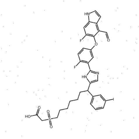 O=Cc1c(Oc2ccc(F)c(-c3ncc(C(CCCCCCS(=O)(=O)CC(=O)O)c4cccc(I)c4)[nH]3)c2)c(F)cc2[nH]ccc12